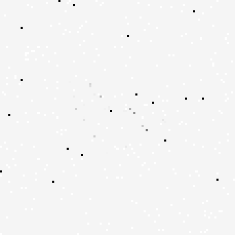 O=O.O=[N+]([O-])[O-].O=[N+]([O-])[O-].[Zn+2].c1c[nH]nn1.c1c[nH]nn1